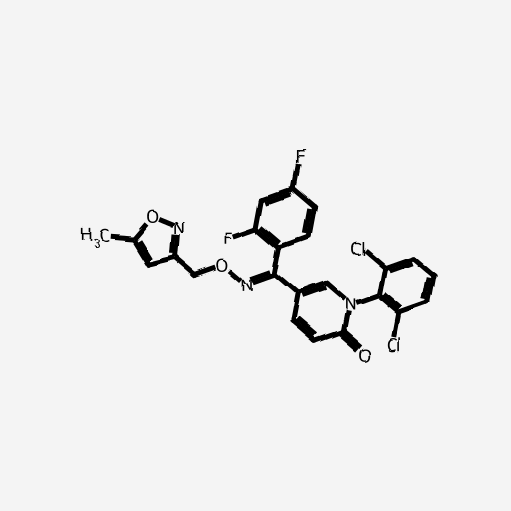 Cc1cc(CON=C(c2ccc(=O)n(-c3c(Cl)cccc3Cl)c2)c2ccc(F)cc2F)no1